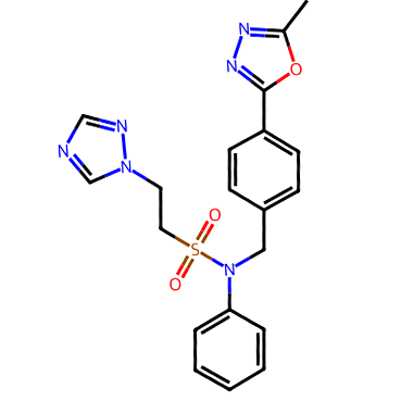 Cc1nnc(-c2ccc(CN(c3ccccc3)S(=O)(=O)CCn3cncn3)cc2)o1